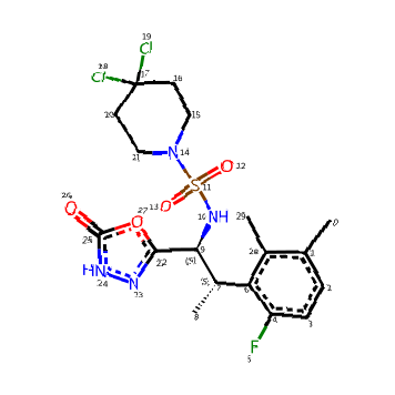 Cc1ccc(F)c([C@H](C)[C@H](NS(=O)(=O)N2CCC(Cl)(Cl)CC2)c2n[nH]c(=O)o2)c1C